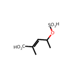 CC(=CC(C)OS(=O)(=O)O)C(=O)O